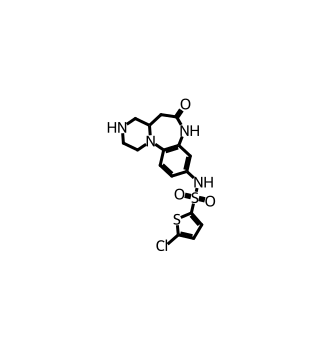 O=C1CC2CNCCN2c2ccc(NS(=O)(=O)c3ccc(Cl)s3)cc2N1